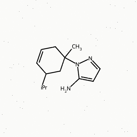 CC(C)C1C=CCC(C)(n2nccc2N)C1